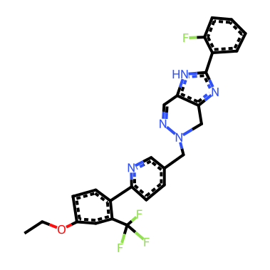 CCOc1ccc(-c2ccc(CN3Cc4nc(-c5ccccc5F)[nH]c4C=N3)cn2)c(C(F)(F)F)c1